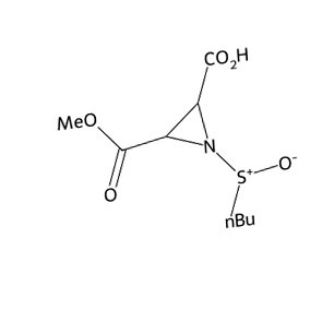 CCCC[S+]([O-])N1C(C(=O)O)C1C(=O)OC